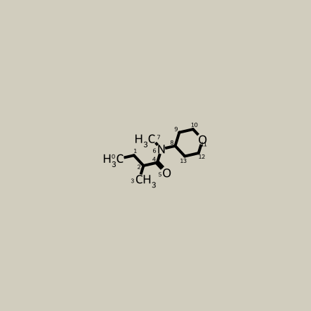 CCC(C)C(=O)N(C)C1CCOCC1